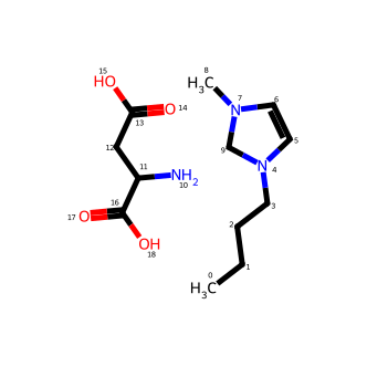 CCCCN1C=CN(C)C1.NC(CC(=O)O)C(=O)O